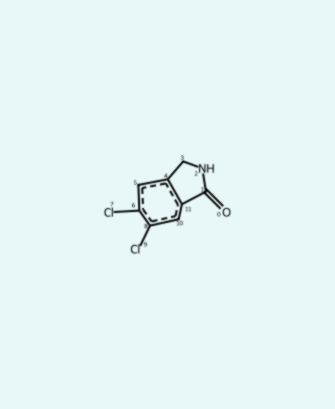 O=C1NCc2cc(Cl)c(Cl)cc21